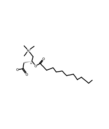 CCCCCCCCCCC(=O)O[C@H](CC(=O)[O-])C[N+](C)(C)C